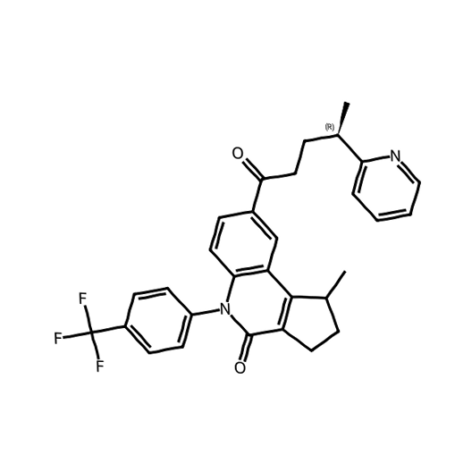 CC1CCc2c1c1cc(C(=O)CC[C@@H](C)c3ccccn3)ccc1n(-c1ccc(C(F)(F)F)cc1)c2=O